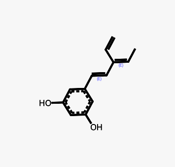 C=CC(/C=C/c1cc(O)cc(O)c1)=C\C